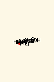 Cc1cc(C)c(N(C)C(=O)c2cc(Cl)c3c(c2C)OC(C)([C@H]2CC[C@H](N(C)C(=O)O)CC2)O3)c(=O)[nH]1